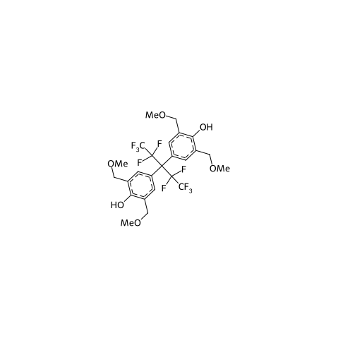 COCc1cc(C(c2cc(COC)c(O)c(COC)c2)(C(F)(F)C(F)(F)F)C(F)(F)C(F)(F)F)cc(COC)c1O